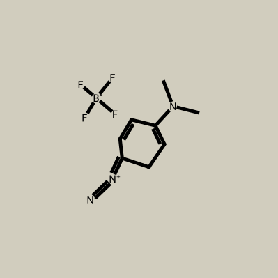 CN(C)C1=CCC(=[N+]=[N-])C=C1.F[B-](F)(F)F